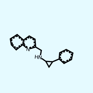 c1ccc(C2CC2NCc2ccc3ccccc3n2)cc1